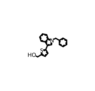 OCc1ccc(-c2cn(Cc3ccccc3)c3ccccc23)s1